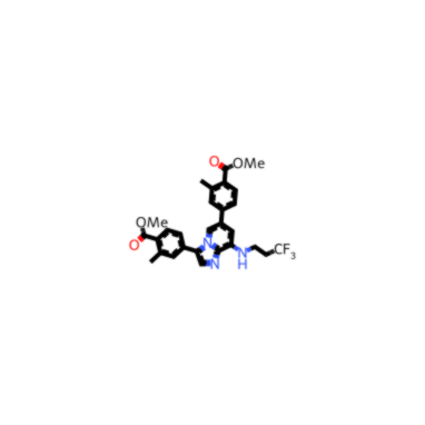 COC(=O)c1ccc(-c2cc(NCCC(F)(F)F)c3ncc(-c4ccc(C(=O)OC)c(C)c4)n3c2)cc1C